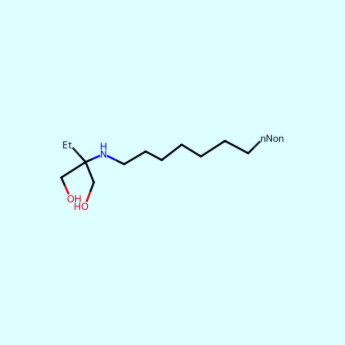 CCCCCCCCCCCCCCCCNC(CC)(CO)CO